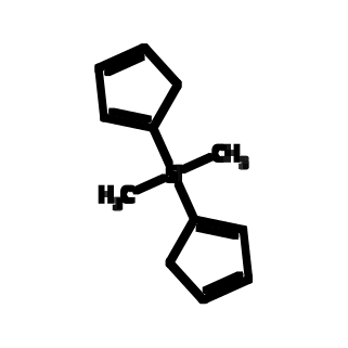 C[Si](C)(C1=CC=CC1)C1=CC=CC1